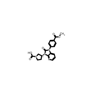 COC(=O)c1ccc(-n2c(=O)n([C@H]3CCN(C(=O)O)C3)c3ncccc32)cc1